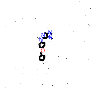 CN(c1ccc(OCc2ccccc2)cc1)c1cc2c(cn1)ncn2C